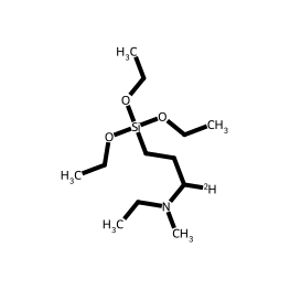 [2H]C(CC[Si](OCC)(OCC)OCC)N(C)CC